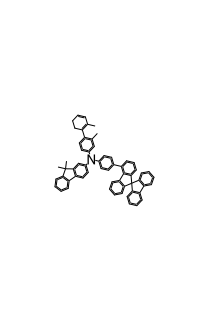 CC1=C(c2ccc(N(c3ccc(-c4cccc5c4-c4ccccc4C54c5ccccc5-c5ccccc54)cc3)c3ccc4c(c3)C(C)(C)c3ccccc3-4)cc2C)CCC=C1